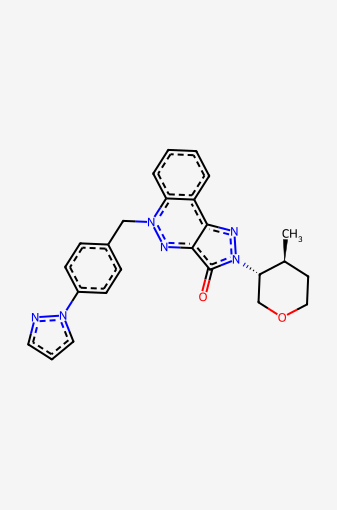 C[C@H]1CCOC[C@@H]1n1nc2c3ccccc3n(Cc3ccc(-n4cccn4)cc3)nc-2c1=O